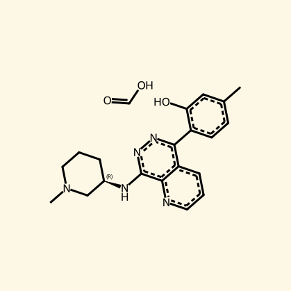 Cc1ccc(-c2nnc(N[C@@H]3CCCN(C)C3)c3ncccc23)c(O)c1.O=CO